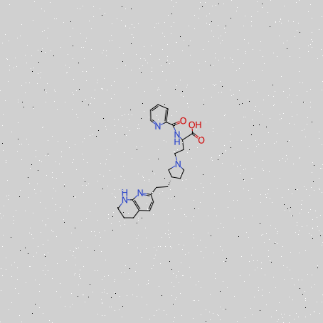 O=C(NC(CCN1CC[C@H](CCc2ccc3c(n2)NCCC3)C1)C(=O)O)c1ccccn1